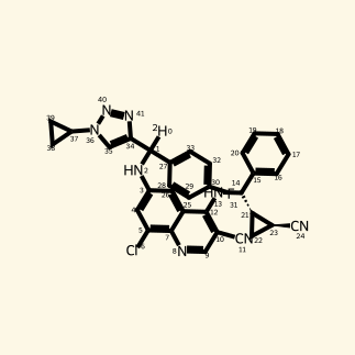 [2H]C(Nc1cc(Cl)c2ncc(C#N)c(NC(c3ccccc3)[C@H]3C[C@@H]3C#N)c2c1)(c1ccc(F)cc1)c1cn(C2CC2)nn1